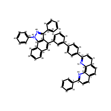 c1ccc(-c2ccc3ccc4ccc(-c5ccc(-c6cccc(-c7cc8ccccc8c8c7c(-c7ccccc7)nn8-c7ccccc7)c6)cc5)nc4c3n2)cc1